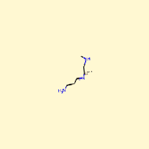 CNC[C@H](C)/N=C/CCN